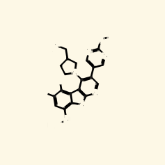 CNc1cc(F)c(F)c2c1[nH]c1ncc(-c3cnc(OC)nc3)c(N3CCC(CN)C3)c12